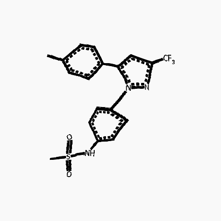 Cc1ccc(-c2cc(C(F)(F)F)nn2-c2ccc(NS(C)(=O)=O)cc2)cc1